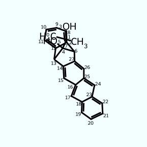 CC(C)(O)C1(O)C2c3ccccc3C1c1cc3cc4ccccc4cc3cc12